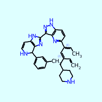 C=C/C(=C\C(=C/C)c1ccc2[nH]nc(-c3nc4c([nH]3)C=CNC4c3cccc(C)c3)c2n1)CC1CCNCC1